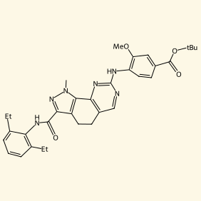 CCc1cccc(CC)c1NC(=O)c1nn(C)c2c1CCc1cnc(Nc3ccc(C(=O)OC(C)(C)C)cc3OC)nc1-2